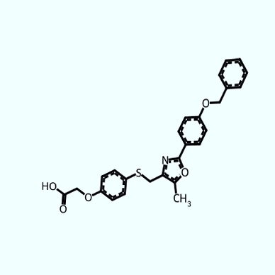 Cc1oc(-c2ccc(OCc3ccccc3)cc2)nc1CSc1ccc(OCC(=O)O)cc1